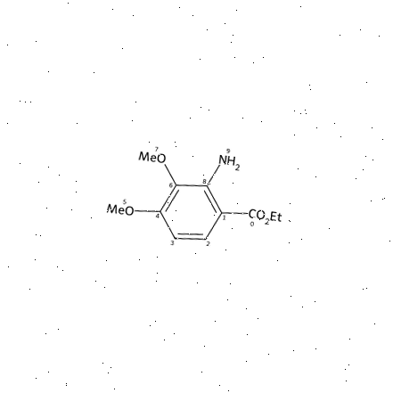 CCOC(=O)c1ccc(OC)c(OC)c1N